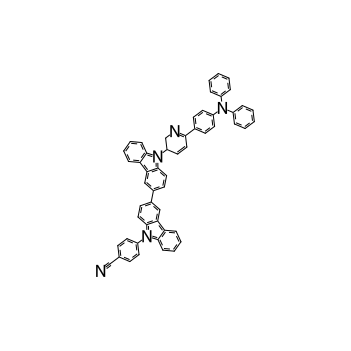 N#Cc1ccc(-n2c3ccccc3c3cc(-c4ccc5c(c4)c4ccccc4n5C4C=CC(c5ccc(N(c6ccccc6)c6ccccc6)cc5)=NC4)ccc32)cc1